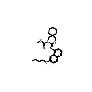 CCCCOc1ccc2cccc(/N=C3\SCC4(CCCCC4)CN3C(=S)SC)c2c1